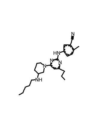 CCCCCNC1CCCN(c2cc(CCC)nc(Nc3ccc(C)c(C#N)c3)n2)C1